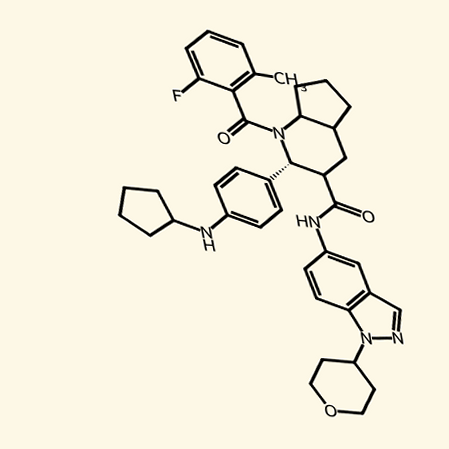 Cc1cccc(F)c1C(=O)N1C2CCCC2CC(C(=O)Nc2ccc3c(cnn3C3CCOCC3)c2)[C@@H]1c1ccc(NC2CCCC2)cc1